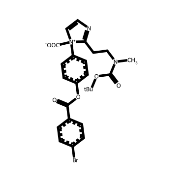 CN(CCC1=NC=C[N+]1(C(=O)[O-])c1ccc(OC(=O)c2ccc(Br)cc2)cc1)C(=O)OC(C)(C)C